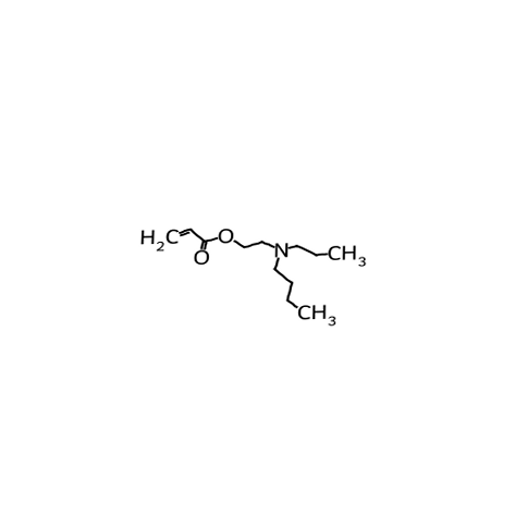 C=CC(=O)OCCN(CCC)CCCC